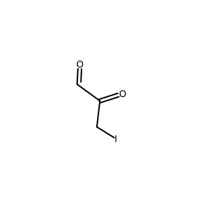 O=CC(=O)CI